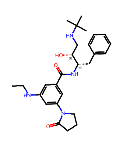 CCNc1cc(C(=O)N[C@@H](Cc2ccccc2)[C@H](O)CNC(C)(C)C)cc(N2CCCC2=O)c1